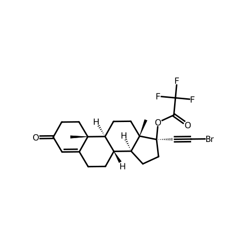 C[C@]12CCC(=O)C=C1CC[C@@H]1[C@@H]2CC[C@@]2(C)[C@H]1CC[C@]2(C#CBr)OC(=O)C(F)(F)F